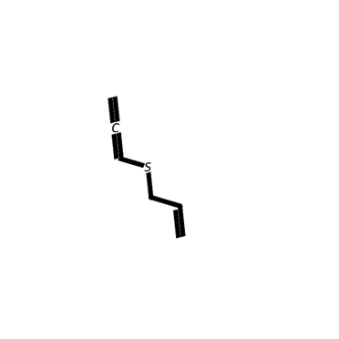 C=C=[C]SCC=C